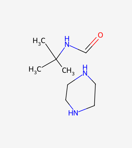 C1CNCCN1.CC(C)(C)NC=O